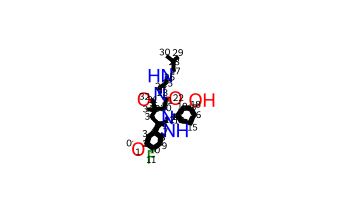 COc1cc2c3c([nH]c2cc1F)N(c1cccc(O)c1)C1C(=O)N(CCNCC(C)C)C(=O)C1(C)C3